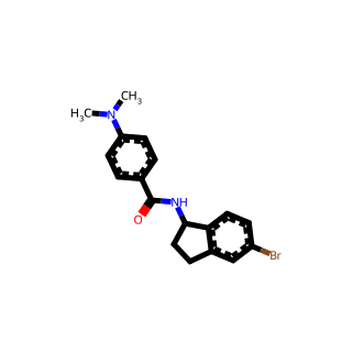 CN(C)c1ccc(C(=O)NC2CCc3cc(Br)ccc32)cc1